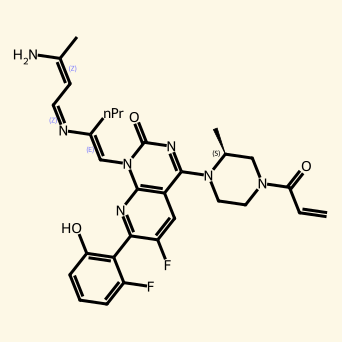 C=CC(=O)N1CCN(c2nc(=O)n(/C=C(CCC)/N=C\C=C(\C)N)c3nc(-c4c(O)cccc4F)c(F)cc23)[C@@H](C)C1